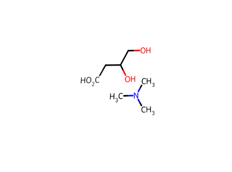 CN(C)C.O=C(O)CC(O)CO